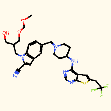 COCOCC(CO)Cn1c(C#N)cc2cc(CN3CCC(Nc4ncnc5sc(CC(F)(F)F)cc45)CC3)ccc21